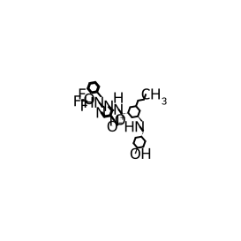 CCCC1C[C@@H](CNC[C@H]2CC[C@H](O)CC2)C[C@H](CNc2nc(NCc3ccccc3OC(F)(F)F)ncc2[N+](=O)[O-])C1